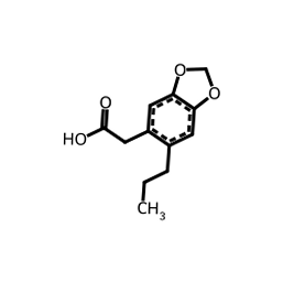 CCCc1cc2c(cc1CC(=O)O)OCO2